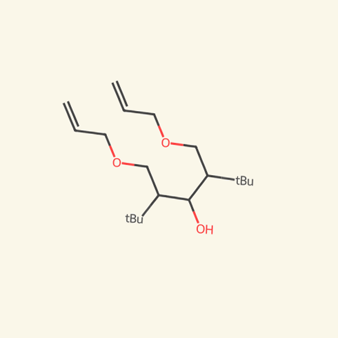 C=CCOCC(C(O)C(COCC=C)C(C)(C)C)C(C)(C)C